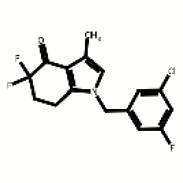 Cc1cn(Cc2cc(F)cc(Cl)c2)c2c1C(=O)C(F)(F)CC2